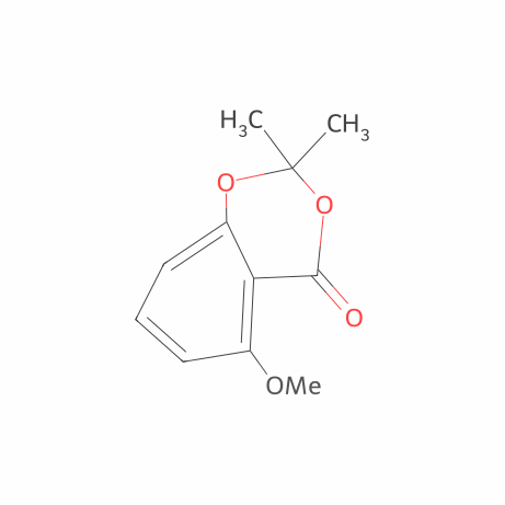 COc1cccc2c1C(=O)OC(C)(C)O2